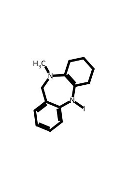 CN1Cc2ccccc2N(I)C2=C1CCCC2